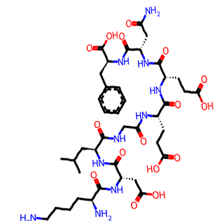 CC(C)C[C@H](NC(=O)[C@H](CC(=O)O)NC(=O)[C@@H](N)CCCCN)C(=O)NCC(=O)N[C@@H](CCC(=O)O)C(=O)N[C@@H](CCC(=O)O)C(=O)N[C@@H](CC(N)=O)C(=O)N[C@@H](Cc1ccccc1)C(=O)O